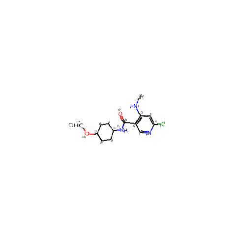 CC(C)Nc1cc(Cl)ncc1C(=O)NC1CCC(OC=O)CC1